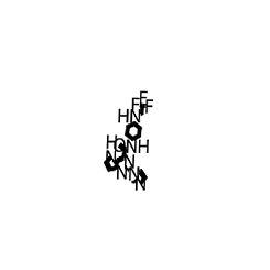 O=C(N[C@H]1CC[C@H](NCC(F)(F)F)CC1)c1nc(-n2ccnc2)nc2cc[nH]c12